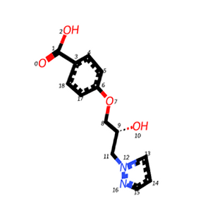 O=C(O)c1ccc(OC[C@H](O)Cn2cccn2)cc1